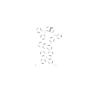 Cc1ccc(C2(c3ccc(C)cc3)c3ccccc3-c3c(-c4c5cccc(-c6ccc7c(c6)c6ccccc6n7-c6ccccc6)c5cc5c(-c6ccc7c(c6)c6ccccc6n7-c6ccccc6)cccc45)cccc32)cc1